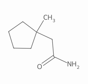 CC1(CC(N)=O)CCCC1